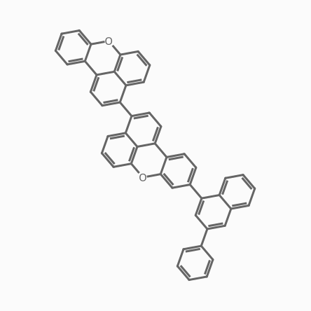 c1ccc(-c2cc(-c3ccc4c(c3)Oc3cccc5c(-c6ccc7c8c(cccc68)Oc6ccccc6-7)ccc-4c35)c3ccccc3c2)cc1